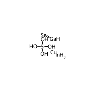 O[Si](O)(O)O.[Cu].[GaH]=[Se].[InH3]